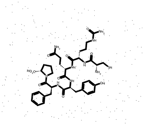 NC(=O)CC[C@H](NC(=O)[C@H](CCCNC(N)=O)NC(=O)[C@@H](N)CS)C(=O)N[C@@H](Cc1ccc(O)cc1)C(=O)N[C@@H](Cc1ccccc1)C(=O)N1CCC[C@H]1C(=O)O